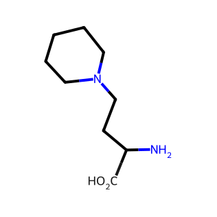 NC(CCN1CCCCC1)C(=O)O